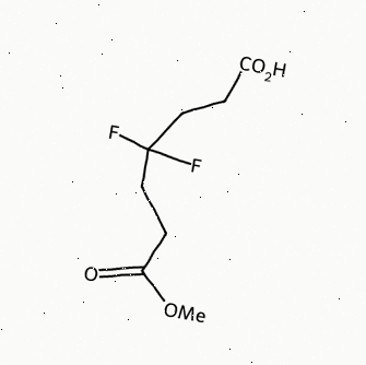 COC(=O)CCC(F)(F)CCC(=O)O